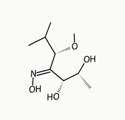 CO[C@H](/C(=N/O)[C@@H](O)[C@@H](C)O)C(C)C